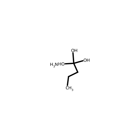 CCCC(O)(O)O.N